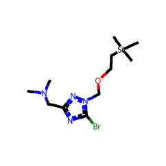 CN(C)Cc1nc(Br)n(COCC[Si](C)(C)C)n1